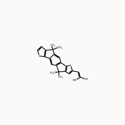 CC1(C)c2cc3c(cc2-c2sccc21)C(C)(C)c1cc(C=C(C#N)C#N)sc1-3